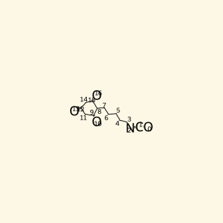 O=C=NCCCCCC1C(=O)CC(=O)CC1=O